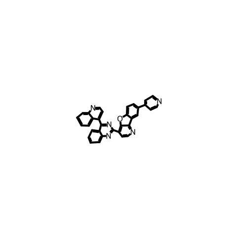 c1ccc2c(-c3nc(-c4ccnc5c4oc4ccc(-c6ccncc6)cc45)nc4ccccc34)ccnc2c1